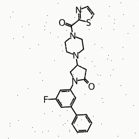 O=C(c1nccs1)N1CCN(C2CC(=O)N(c3cc(F)cc(-c4ccccc4)c3)C2)CC1